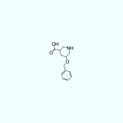 O=C(O)C1CNCC(OCc2ccccc2)C1